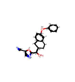 N#Cc1cnc(C(O)C2CCc3cc(Oc4ccccc4)ccc3C2)o1